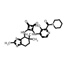 Cc1nc2c(s1)C(Nc1c(Nc3ccnc(C(=O)N4CCCCC4)c3O)c(=O)c1=O)C(C)(C)CC2